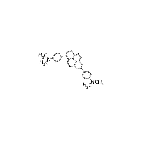 CN(C)c1ccc(-c2cc3ccc4ccc(-c5ccc(N(C)C)cc5)c5ccc(c2)c3c45)cc1